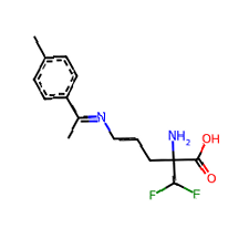 CC(=NCCCC(N)(C(=O)O)C(F)F)c1ccc(C)cc1